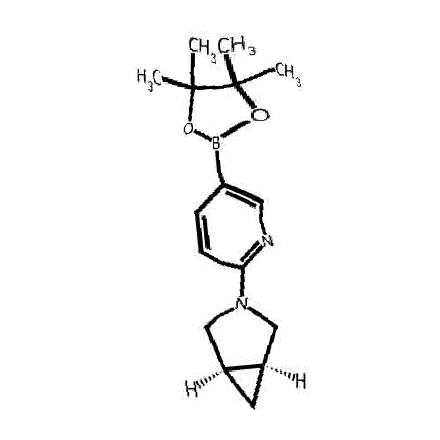 CC1(C)OB(c2ccc(N3C[C@H]4C[C@H]4C3)nc2)OC1(C)C